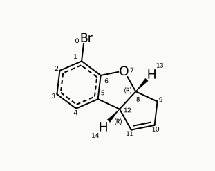 Brc1cccc2c1O[C@@H]1CC=C[C@H]21